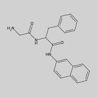 NCC(=O)NC(Cc1ccccc1)C(=O)Nc1ccc2ccccc2c1